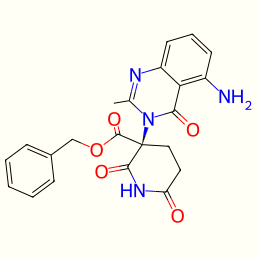 Cc1nc2cccc(N)c2c(=O)n1[C@@]1(C(=O)OCc2ccccc2)CCC(=O)NC1=O